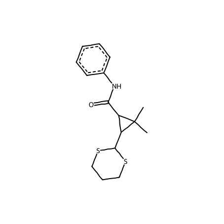 CC1(C)C(C(=O)Nc2ccccc2)C1C1SCCCS1